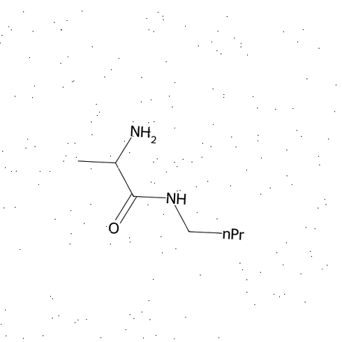 CCCCNC(=O)C(C)N